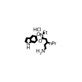 CCCC(CCN)CC(=O)N(CC)Oc1ccc2[nH]ccc2c1.Cl